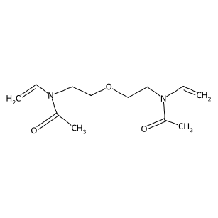 C=CN(CCOCCN(C=C)C(C)=O)C(C)=O